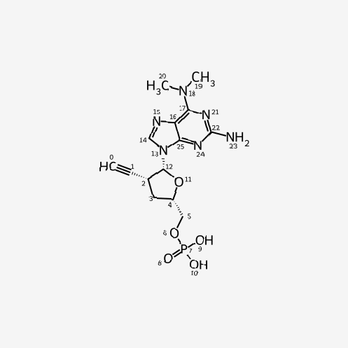 C#C[C@H]1C[C@@H](COP(=O)(O)O)O[C@H]1n1cnc2c(N(C)C)nc(N)nc21